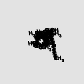 CCCCCCCCCCCCCCCC(=O)N(C)[C@H](CO)C(=O)N[C@H](C)C(=O)NCC(=O)N(C)[C@@H]1C(=O)N[C@@H](C)C(=O)N[C@H](C(=O)O)Cc2ccc(OC)c(c2)-c2cc1ccc2OC